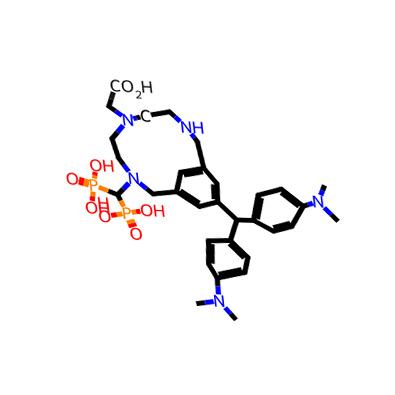 CN(C)c1ccc(C(c2ccc(N(C)C)cc2)c2cc3cc(c2)CN(C(P(=O)(O)O)P(=O)(O)O)CCN(CC(=O)O)CCNC3)cc1